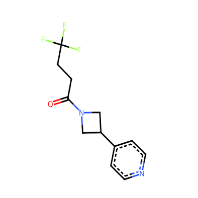 O=C(CCC(F)(F)F)N1CC(c2ccncc2)C1